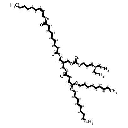 CCCCCC/C=C\COC(=O)CCCCCCCC(=O)OCC(COC(=O)CCC(OCCCCCCCCC)OCCCCCCCCC)COC(=O)OCCCN(CC)CC